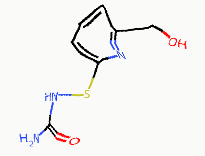 NC(=O)NSc1cccc(CO)n1